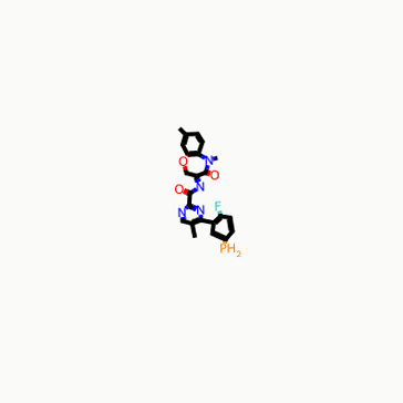 Cc1ccc2c(c1)OC/C(=N\C(=O)c1ncc(C)c(-c3cc(P)ccc3F)n1)C(=O)N2C